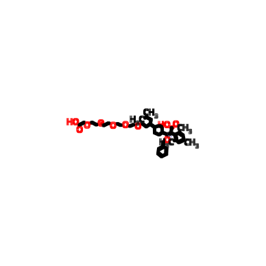 Cc1cc(C)c(/C(C(=O)O)=C(\OCc2ccccc2)C2CCC(C(CCOCCOCCOCCOCCOCC(=O)O)CC(C)C)CC2)c(C)c1